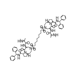 CN[C@@H](C)C(=O)N[C@H]1CN(S(=O)(=O)CCCCCCCCS(=O)(=O)N2CC[C@H]3CC[C@@H](C(=O)NC(c4ccccc4)c4ccccc4)N3C(=O)[C@@H](NC(=O)[C@H](C)NC)C2)CC[C@H]2CCC(C(=O)NC(c3ccccc3)c3ccccc3)N2C1=O